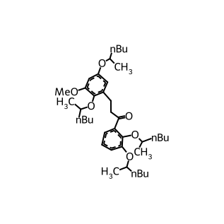 CCCCC(C)Oc1cc(CCC(=O)c2cccc(OC(C)CCCC)c2OC(C)CCCC)c(OC(C)CCCC)c(OC)c1